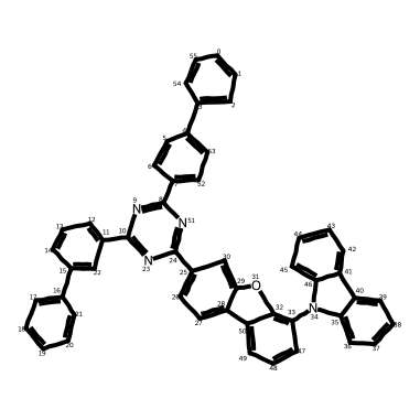 c1ccc(-c2ccc(-c3nc(-c4cccc(-c5ccccc5)c4)nc(-c4ccc5c(c4)oc4c(-n6c7ccccc7c7ccccc76)cccc45)n3)cc2)cc1